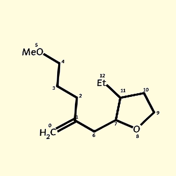 C=C(CCCOC)CC1OCCC1CC